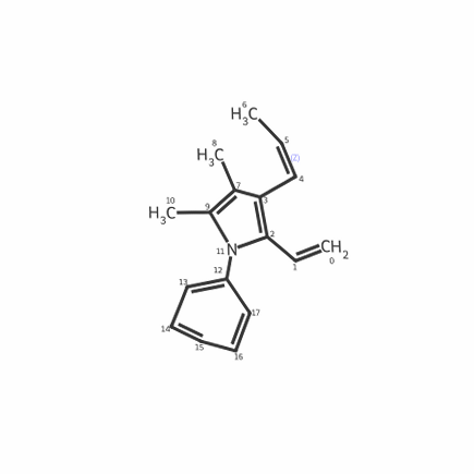 C=Cc1c(/C=C\C)c(C)c(C)n1-c1ccccc1